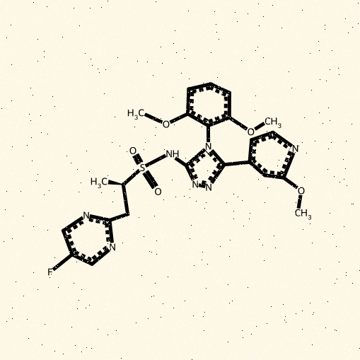 COc1cc(-c2nnc(NS(=O)(=O)[C@H](C)Cc3ncc(F)cn3)n2-c2c(OC)cccc2OC)ccn1